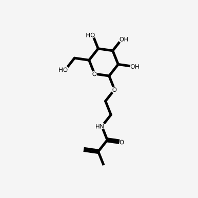 C=C(C)C(=O)NCCOC1OC(CO)C(O)C(O)C1O